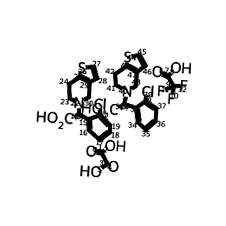 O=C(O)C(=O)O.O=C(O)C(F)(F)F.O=C(O)[C@H](c1ccccc1Cl)N1CCc2sccc2C1.O=C(O)[C@H](c1ccccc1Cl)N1CCc2sccc2C1